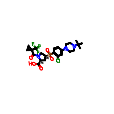 CC(C)(C)N1CCN(c2ccc(S(=O)(=O)[C@@H]3C[C@@H](C(=O)O)N(C(=O)C4(C(F)(F)F)CC4)C3)c(Cl)c2)CC1